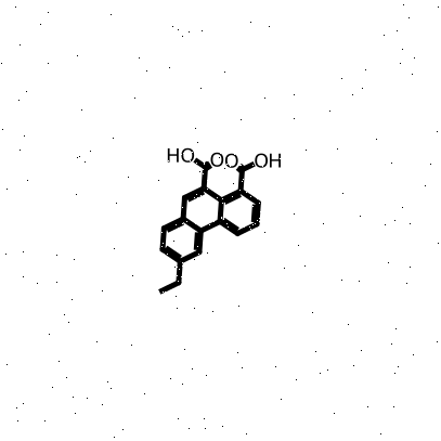 CCc1ccc2cc(C(=O)O)c3c(C(=O)O)cccc3c2c1